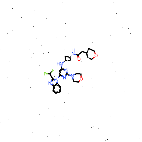 O=C(CC1CCOCC1)N[C@H]1C[C@H](Nc2cc(-n3c(C(F)F)nc4ccccc43)nc(N3CCOCC3)n2)C1